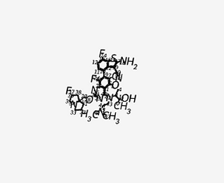 CC(O)C1COc2c(Cl)c(-c3ccc(F)c4sc(N)c(C#N)c34)c(F)c3nc(OC[C@@]45CCCN4C[C@H](F)C5)nc(c23)N1CCN(C)C